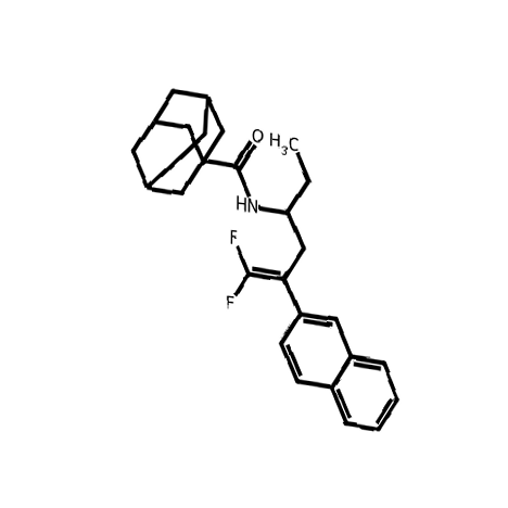 CCC(CC(=C(F)F)c1ccc2ccccc2c1)NC(=O)C12CC3CC(CC(C3)C1)C2